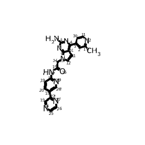 Cc1cc(-c2nc(N)nc3c2ccn3CC(=O)Nc2ccc(-c3cnccn3)cn2)ccn1